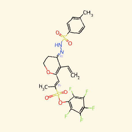 C=CC1=C(/C=C(\C)S(=O)(=O)Oc2c(F)c(F)c(F)c(F)c2F)OCC/C1=N\NS(=O)(=O)c1ccc(C)cc1